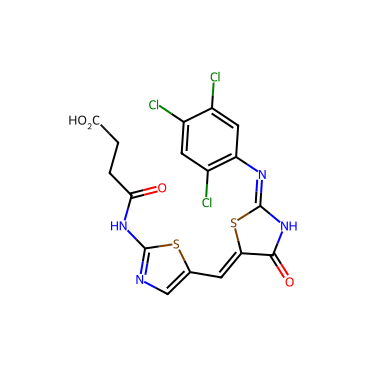 O=C(O)CCC(=O)Nc1ncc(C=C2SC(=Nc3cc(Cl)c(Cl)cc3Cl)NC2=O)s1